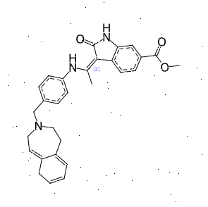 COC(=O)c1ccc2c(c1)NC(=O)/C2=C(/C)Nc1ccc(CN2CC=C3CC=CC=C3CC2)cc1